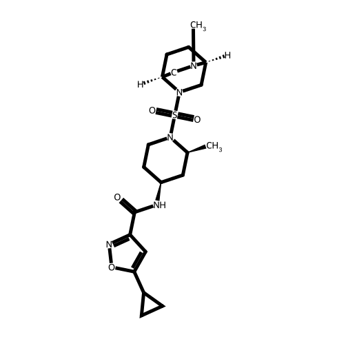 C[C@H]1C[C@@H](NC(=O)c2cc(C3CC3)on2)CCN1S(=O)(=O)N1C[C@@H]2CC[C@H]1CN2C